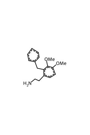 COc1ccc(CCN)c(Cc2ccccc2)c1OC